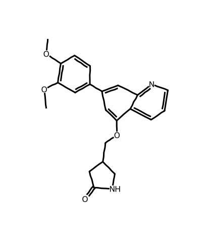 COc1ccc(-c2cc(OCC3CNC(=O)C3)c3cccnc3c2)cc1OC